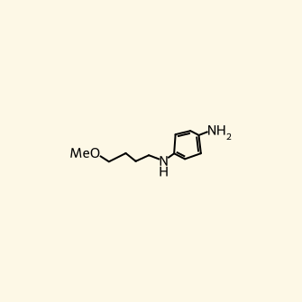 COCCCCNc1ccc(N)cc1